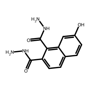 NNC(=O)c1ccc2ccc(O)cc2c1C(=O)NN